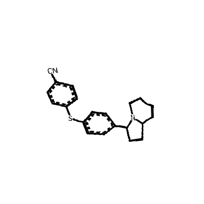 N#Cc1ccc(Sc2ccc(C3CCC4CCCCN43)cc2)cc1